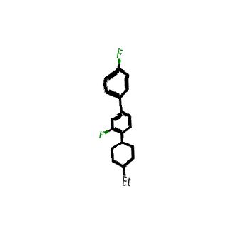 CCC1CCC(c2ccc(-c3ccc(F)cc3)cc2F)CC1